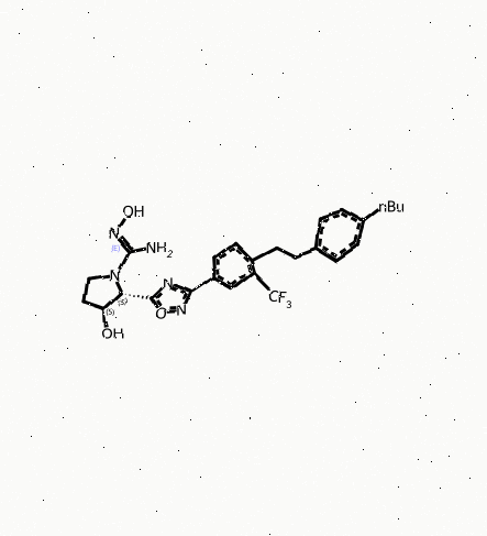 CCCCc1ccc(CCc2ccc(-c3noc([C@@H]4[C@@H](O)CCN4/C(N)=N/O)n3)cc2C(F)(F)F)cc1